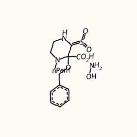 CCCCCN1CCNC(=S(=O)=O)C1(OCc1ccccc1)C(=O)O.NO